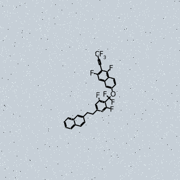 Fc1cc2cc(OC(F)(F)c3c(F)cc(CCc4ccc5ccccc5c4)cc3F)ccc2c(F)c1C#CC(F)(F)F